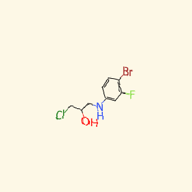 OC(CCl)CNc1ccc(Br)c(F)c1